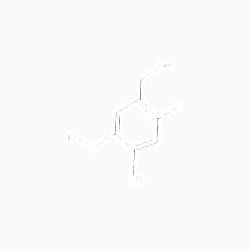 CCOc1cc(CO)c(F)cc1C#N